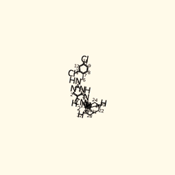 N#Cc1cnc(NCc2ccc(Cl)cc2Cl)nc1NC[C@]12CC3C[C@H](C1)[C@@H](N)[C@@H](C3)C2